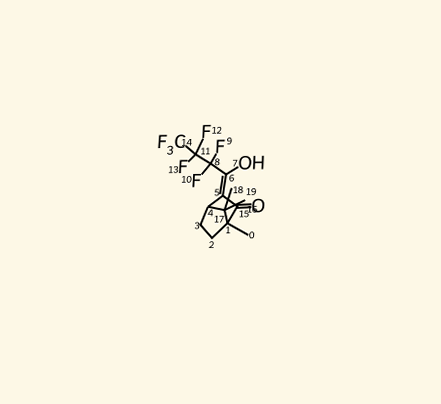 CC12CCC(/C(=C(/O)C(F)(F)C(F)(F)C(F)(F)F)C1=O)C2(C)C